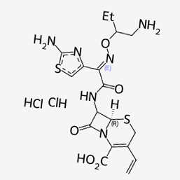 C=CC1=C(C(=O)O)N2C(=O)C(NC(=O)/C(=N/OC(CC)CN)c3csc(N)n3)[C@H]2SC1.Cl.Cl